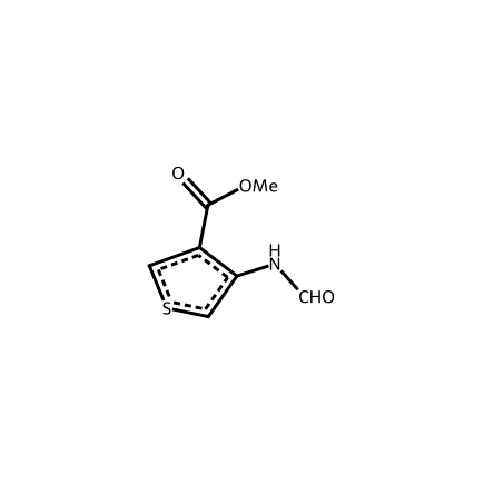 COC(=O)c1cscc1NC=O